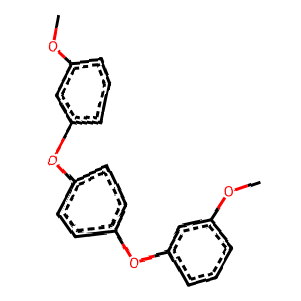 COc1cccc(Oc2ccc(Oc3cccc(OC)c3)cc2)c1